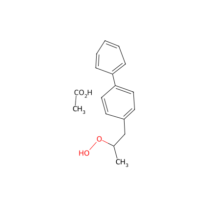 CC(=O)O.CC(Cc1ccc(-c2ccccc2)cc1)OO